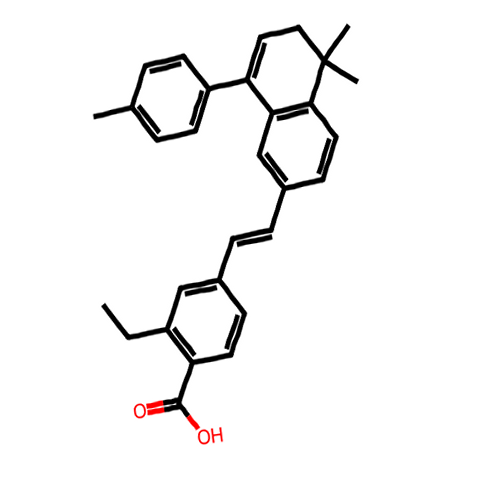 CCc1cc(C=Cc2ccc3c(c2)C(c2ccc(C)cc2)=CCC3(C)C)ccc1C(=O)O